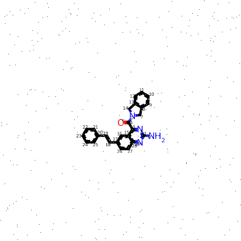 Nc1nc(C(=O)N2Cc3ccccc3C2)c2cc(C=Cc3ccccc3)ccc2n1